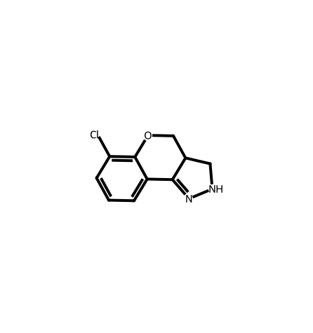 Clc1cccc2c1OCC1CNN=C21